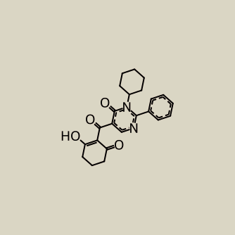 O=C1CCCC(O)=C1C(=O)c1cnc(-c2ccccc2)n(C2CCCCC2)c1=O